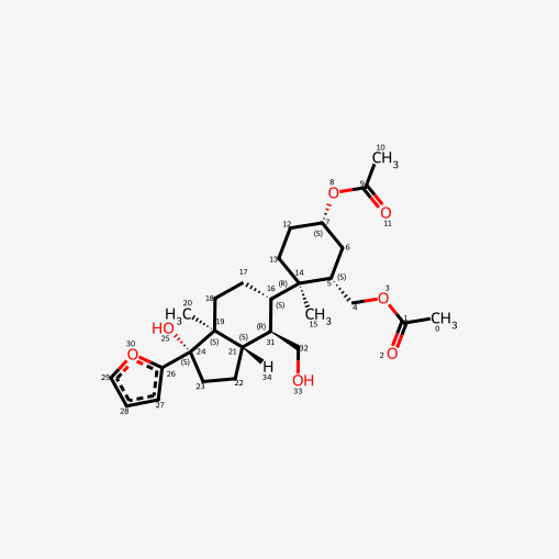 CC(=O)OC[C@H]1C[C@@H](OC(C)=O)CC[C@]1(C)[C@H]1CC[C@@]2(C)[C@@H](CC[C@@]2(O)c2ccco2)[C@@H]1CO